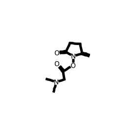 C=C1CCC(=O)N1OC(=O)CN(C)C